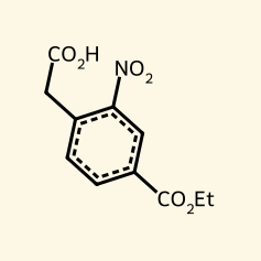 CCOC(=O)c1ccc(CC(=O)O)c([N+](=O)[O-])c1